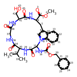 COC(=O)C1Cc2cn(c3ccccc23)C(NC(=O)OCc2ccccc2)C(=O)NC(C(C)C)C(=O)NCC(=O)NC(CO)C(=O)N1